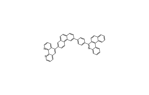 c1ccc2c(c1)ccc1c(-c3ccc(-c4ccc5ccc6cc(-c7cc8cccnc8c8ncccc78)ccc6c5c4)cc3)nc3ccccc3c12